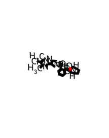 Cc1nc2c3c(nn2c(C)c1Cl)CN(C(=O)c1ccccc1O[C@@H]1C[C@H]2CC[C@@H](C1)N2C(=O)OC(C)(C)C)C3